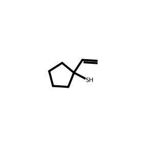 C=CC1(S)CCCC1